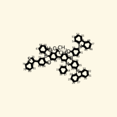 CC(C)(C)c1c(-c2cc3c4c(c2)N(c2ccccc2)c2cc(-n5c6ccccc6c6ccccc65)ccc2B4c2ccc(-n4c5ccccc5c5ccccc54)cc2O3)cc2c3c1Oc1ccccc1B3c1cc(-c3csc4ccccc34)ccc1O2